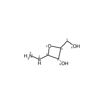 NBC1OC(CO)[C@@H]1O